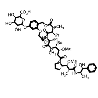 C#CCOc1cc(O[C@@H]2O[C@H](C(=O)O)[C@@H](O)[C@H](O)[C@H]2O)ccc1COC(=O)N(C)[C@H](C(=O)N[C@H](C(=O)N(C)[C@@H](C(C)CC)[C@@H](CC(=O)N1CCC[C@H]1[C@H](OC)[C@@H](C)C(=O)N[C@H](C)[C@@H](O)c1ccccc1)OC)C(C)C)C(C)C